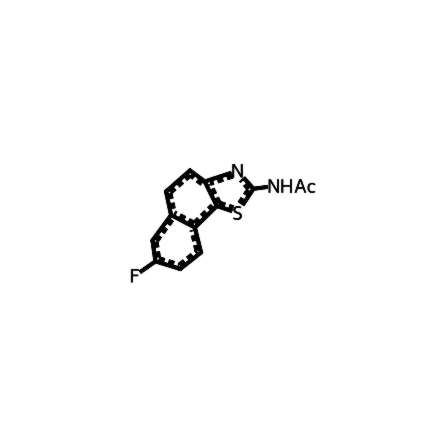 CC(=O)Nc1nc2ccc3cc(F)ccc3c2s1